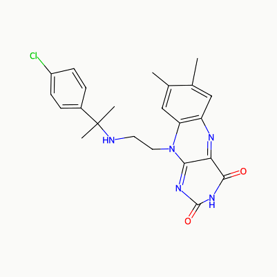 Cc1cc2nc3c(=O)[nH]c(=O)nc-3n(CCNC(C)(C)c3ccc(Cl)cc3)c2cc1C